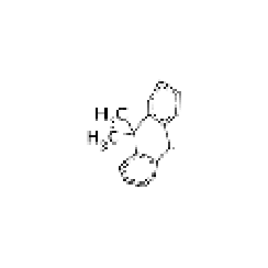 CC1(C)c2ccccc2[CH]c2ccccc21